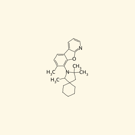 Cc1ccc2c(oc3ncccc32)c1N1C(C)C2(CCCCC2)CC1(C)C